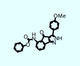 COc1ccc(-c2[nH]nc3c2C(=O)c2c(NC(=O)Oc4ccccc4)cccc2-3)cc1